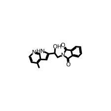 Cc1ccnc2[nH]c(C(O)CN3C(=O)c4ccccc4C3=O)cc12